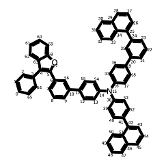 c1ccc(-c2c(-c3cccc(-c4ccc(N(c5ccc(-c6cccc(-c7cccc8ccccc78)c6)cc5)c5ccc(-c6cccc7ccccc67)cc5)cc4)c3)oc3ccccc23)cc1